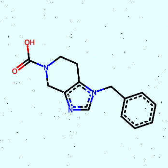 O=C(O)N1CCc2c(ncn2Cc2ccccc2)C1